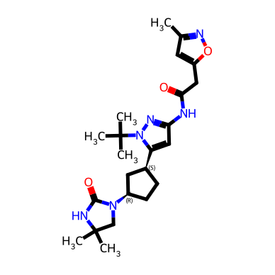 Cc1cc(CC(=O)Nc2cc([C@H]3CC[C@@H](N4CC(C)(C)NC4=O)C3)n(C(C)(C)C)n2)on1